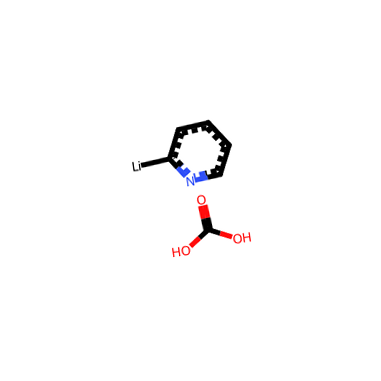 O=C(O)O.[Li][c]1ccccn1